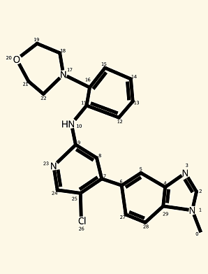 Cn1cnc2cc(-c3cc(Nc4ccccc4N4CCOCC4)ncc3Cl)ccc21